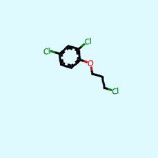 ClCCCOc1ccc(Cl)cc1Cl